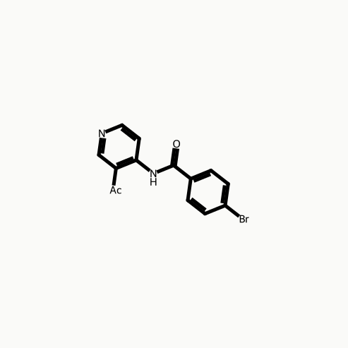 CC(=O)c1cnccc1NC(=O)c1ccc(Br)cc1